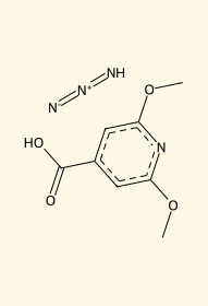 COc1cc(C(=O)O)cc(OC)n1.[N-]=[N+]=N